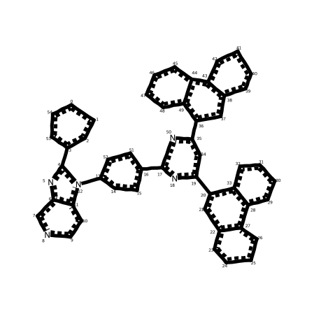 c1ccc(-c2nc3cnccc3n2-c2ccc(-c3nc(-c4cc5ccccc5c5ccccc45)cc(-c4cc5ccccc5c5ccccc45)n3)cc2)cc1